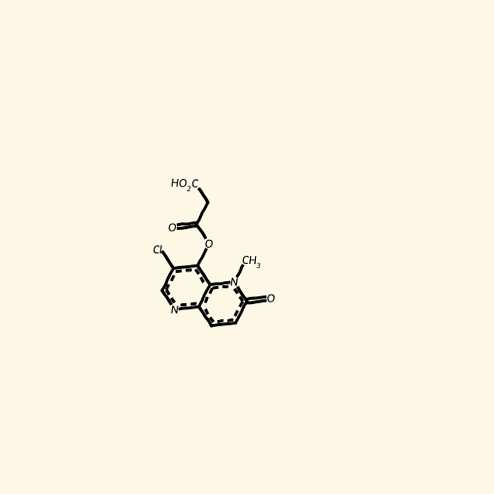 Cn1c(=O)ccc2ncc(Cl)c(OC(=O)CC(=O)O)c21